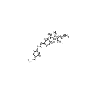 CCc1ccc(CCOc2ccc(CC(C)(C(=O)O)C(C)=NOC)cc2)nc1